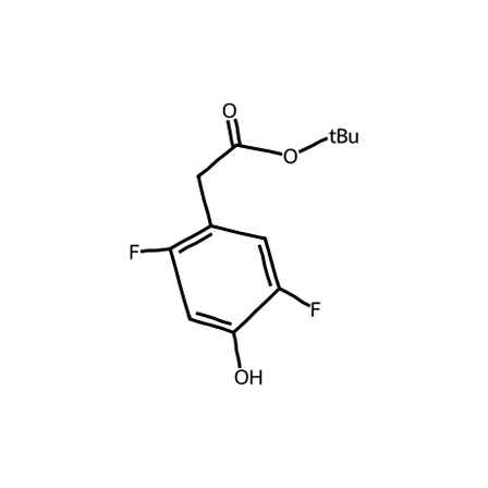 CC(C)(C)OC(=O)Cc1cc(F)c(O)cc1F